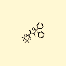 C=C(B1OC(C)(C)C(C)(C)O1)C(C)P(=O)(c1ccccc1)c1ccccc1